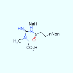 CCCCCCCCCCCC(=O)NC(=N)N(C)CC(=O)O.[NaH]